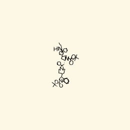 CCNC(=O)O[C@@H]1C[C@@H](CC(=O)N2CCC(C3CN(C(=O)OC(C)(C)C)c4ccccc43)CC2)N(C(=O)OC(C)(C)C)C1